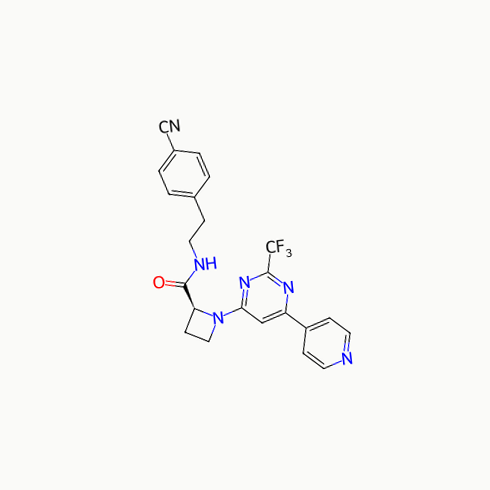 N#Cc1ccc(CCNC(=O)[C@@H]2CCN2c2cc(-c3ccncc3)nc(C(F)(F)F)n2)cc1